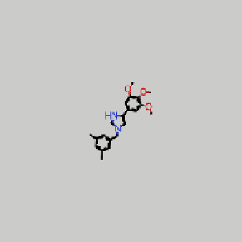 COc1cc(C2CN(Cc3cc(C)cc(C)c3)CN2)cc(OC)c1OC